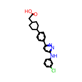 O=C(O)CC1CCC(c2ccc(-c3ccc(Nc4cccc(Cl)c4)nn3)cc2)CC1